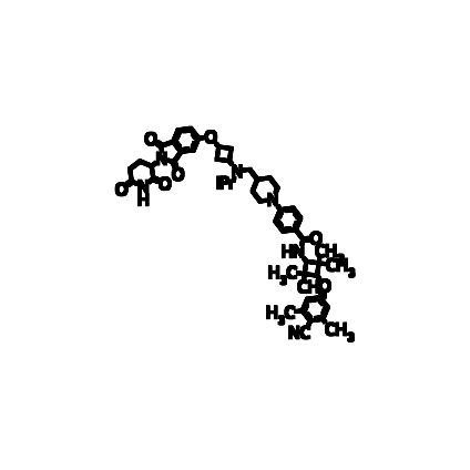 Cc1cc(OC2C(C)(C)C(NC(=O)c3ccc(N4CCC(CN(C(C)C)C5CC(Oc6ccc7c(c6)C(=O)N(C6CCC(=O)NC6=O)C7=O)C5)CC4)cc3)C2(C)C)cc(C)c1C#N